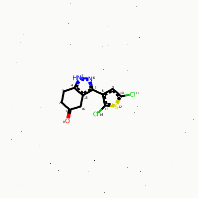 O=C1CCc2[nH]nc(-c3cc(Cl)sc3Cl)c2C1